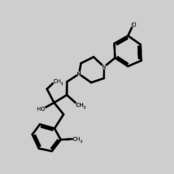 CCC(O)(Cc1ccccc1C)C(C)CN1CCN(c2cccc(Cl)c2)CC1